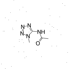 CC(=O)Nc1nnnn1C